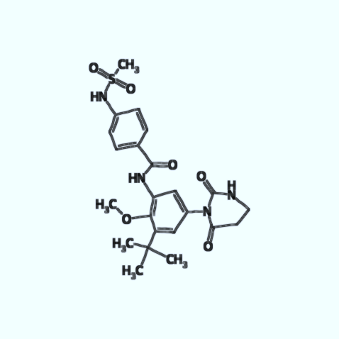 COc1c(NC(=O)c2ccc(NS(C)(=O)=O)cc2)cc(N2C(=O)CCNC2=O)cc1C(C)(C)C